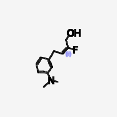 CN(C)c1cccc(C/C=C(/F)CO)c1